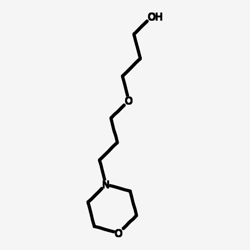 OCCCOCCCN1CCOCC1